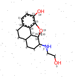 OCCNC1CCC2CCc3ccc(O)c4c3C2[C@@H]1O4